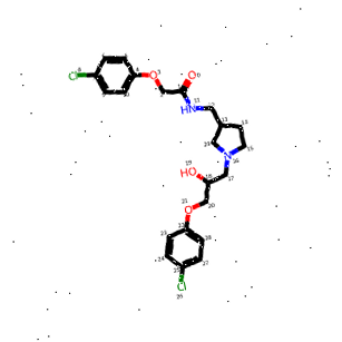 O=C(COc1ccc(Cl)cc1)NCC1CCN(CC(O)COc2ccc(Cl)cc2)C1